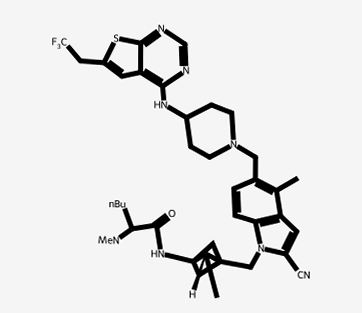 CCCCC(NC)C(=O)NC12CC(Cn3c(C#N)cc4c(C)c(CN5CCC(Nc6ncnc7sc(CC(F)(F)F)cc67)CC5)ccc43)(C1)[C@@H]2C